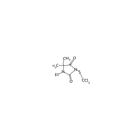 CCN1C(=O)N(SC(Cl)(Cl)Cl)C(=O)C1(C)C